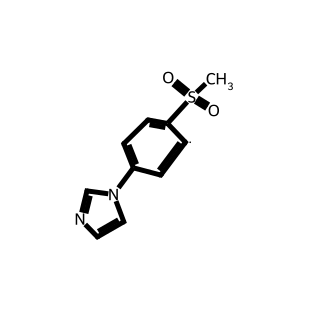 CS(=O)(=O)c1[c]cc(-n2ccnc2)cc1